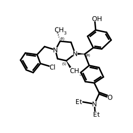 CCN(CC)C(=O)c1ccc([C@H](c2cccc(O)c2)N2C[C@@H](C)N(Cc3ccccc3Cl)C[C@@H]2C)cc1